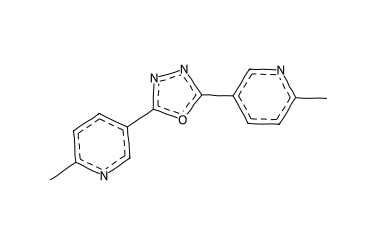 Cc1ccc(-c2nnc(-c3ccc(C)nc3)o2)cn1